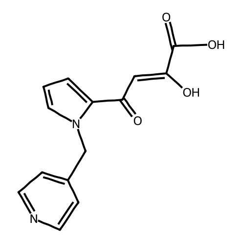 O=C(O)C(O)=CC(=O)c1cccn1Cc1ccncc1